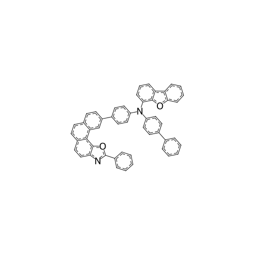 c1ccc(-c2ccc(N(c3ccc(-c4ccc5ccc6ccc7nc(-c8ccccc8)oc7c6c5c4)cc3)c3cccc4c3oc3ccccc34)cc2)cc1